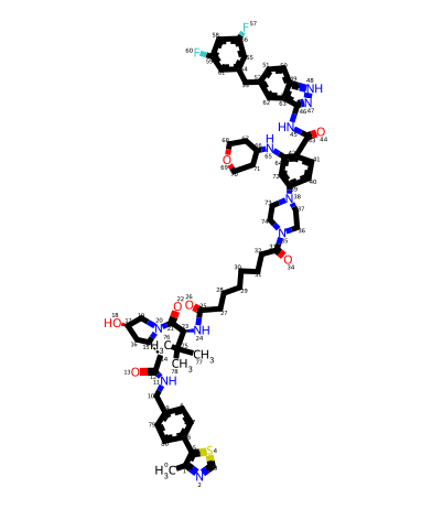 Cc1ncsc1-c1ccc(CNC(=O)C[C@@H]2C[C@@H](O)CN2C(=O)[C@@H](NC(=O)CCCCCCC(=O)N2CCN(c3ccc(C(=O)Nc4n[nH]c5ccc(Cc6cc(F)cc(F)c6)cc45)c(NC4CCOCC4)c3)CC2)C(C)(C)C)cc1